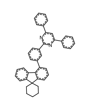 c1ccc(-c2cc(-c3ccccc3)nc(-c3cccc(-c4cccc5c4-c4ccccc4C54CCCCC4)c3)n2)cc1